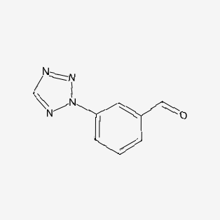 O=Cc1cccc(-n2ncnn2)c1